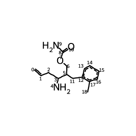 C=CCC(N)C(COC(N)=O)Cc1ccccc1C